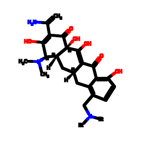 C=C(N)C1=C(O)[C@H](N(C)C)[C@@H]2C[C@@H]3Cc4c(CN(CC)CC)ccc(O)c4C(=O)C3=C(O)[C@]2(O)C1=O